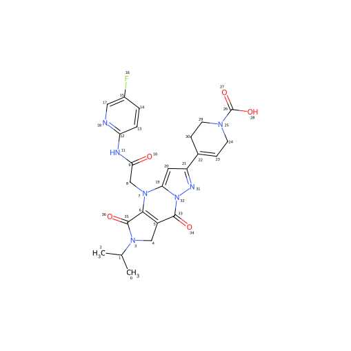 CC(C)N1Cc2c(n(CC(=O)Nc3ccc(F)cn3)c3cc(C4=CCN(C(=O)O)CC4)nn3c2=O)C1=O